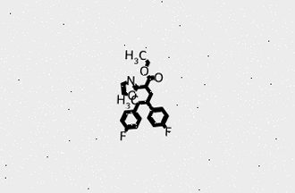 CCOC(=O)C(CC(c1ccc(F)cc1)C(C)c1ccc(F)cc1)c1ncco1